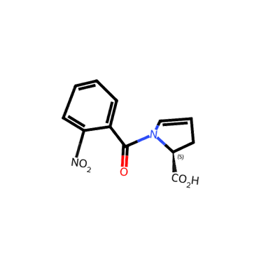 O=C(O)[C@@H]1CC=CN1C(=O)c1ccccc1[N+](=O)[O-]